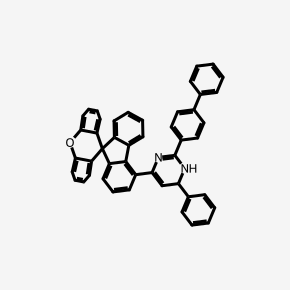 C1=C(c2cccc3c2-c2ccccc2C32c3ccccc3Oc3ccccc32)N=C(c2ccc(-c3ccccc3)cc2)NC1c1ccccc1